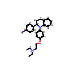 CCN(CC)CCOc1ccc(N2c3ccccc3CCC2c2ccc(I)cc2)cc1